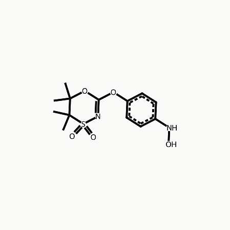 CC1(C)OC(Oc2ccc(NO)cc2)=NS(=O)(=O)C1(C)C